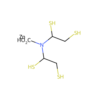 O=C(O)N(C(S)CS)C(S)CS.[Zn]